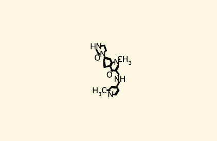 Cc1cc(CNCc2cn(C)c3cc(N4CCNCC4=O)ccc3c2=O)ccn1